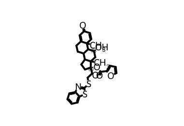 CC12C=CC(=O)C=C1CCC1C2[C@@H](O)CC2(C)C1CC[C@]2(OC(=O)c1ccco1)C(=O)CSc1nc2ccccc2s1